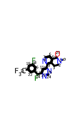 CN1CCc2c(ccnc2-c2cc(C(F)c3cc(F)cc(C(F)(F)F)c3)ncn2)C1=O